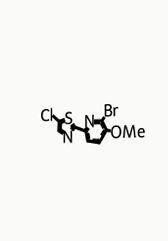 COc1ccc(-c2ncc(Cl)s2)nc1Br